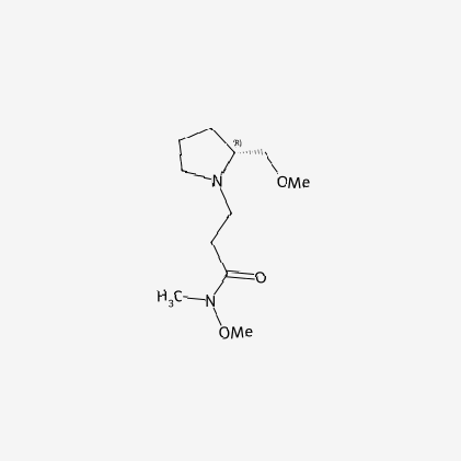 COC[C@H]1CCCN1CCC(=O)N(C)OC